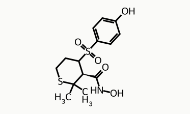 CC1(C)SCCC(S(=O)(=O)c2ccc(O)cc2)[C@H]1C(=O)NO